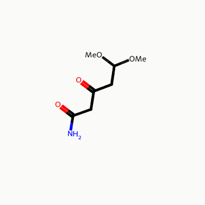 COC(CC(=O)CC(N)=O)OC